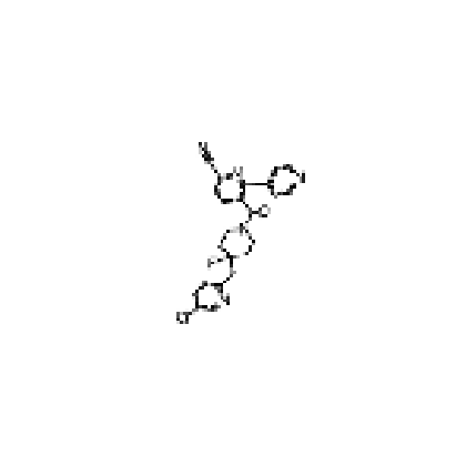 N#Cc1ccc(C(=O)N2CCC(F)(Cc3ccc(Cl)cn3)CC2)c(-c2ccncc2)n1